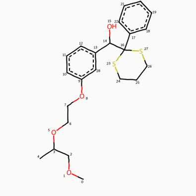 COCC(C)OCCOc1cccc(C(O)C2(c3ccccc3)SCCCS2)c1